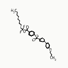 C=CCOc1ccc(-c2ccc(C(=O)Oc3ccc(C(=O)OC(F)(F)CCCCCCCCC)cc3)cc2)cc1